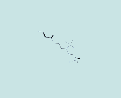 C/C=C/C(=O)OCCC(COP(=O)(O)O)[N+](C)(C)C